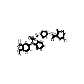 Cc1ncc(Cl)cc1C(=O)N[C@H]1CC[C@H](Cn2c(=O)n(-c3ccc4c(C)n[nH]c4c3)c3ccccc32)CC1